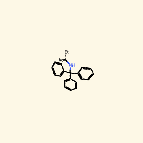 CC[C@H](NC(c1ccccc1)(c1ccccc1)c1ccccc1)C(C)=O